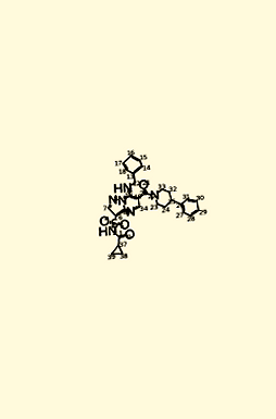 O=C(NS(=O)(=O)c1cnn2c(NCc3ccccc3)c(C(=O)N3CCC(c4ccccc4)CC3)cnc12)C1CC1